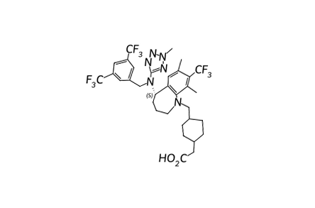 Cc1cc2c(c(C)c1C(F)(F)F)N(CC1CCC(CC(=O)O)CC1)CCC[C@@H]2N(Cc1cc(C(F)(F)F)cc(C(F)(F)F)c1)c1nnn(C)n1